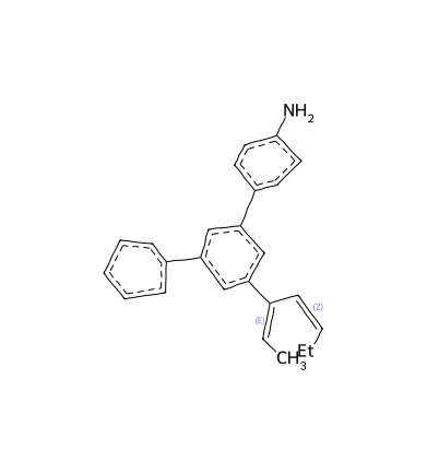 C/C=C(\C=C/CC)c1cc(-c2ccccc2)cc(-c2ccc(N)cc2)c1